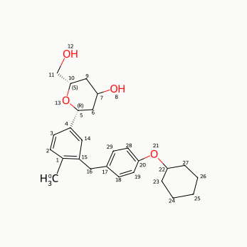 Cc1ccc([C@H]2CC(O)C[C@@H](CO)O2)cc1Cc1ccc(OC2CCCCC2)cc1